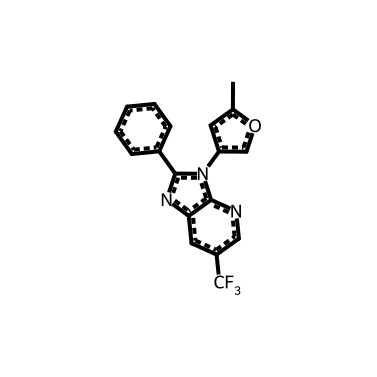 Cc1cc(-n2c(-c3ccccc3)nc3cc(C(F)(F)F)cnc32)co1